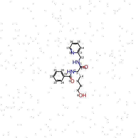 O=C(N[C@@H](CCCCO)C(=O)NCc1ccccn1)c1ccccc1